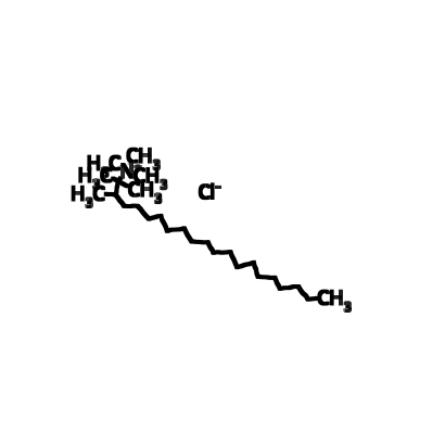 CCCCCCCCCCCCCCCCCCC(C)C(C)(C)[N+](C)(C)C.[Cl-]